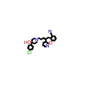 N#Cc1cccc2c1C/C(=C/CCN1CCC(O)(c3ccc(Cl)cc3)CC1)c1cccnc1O2